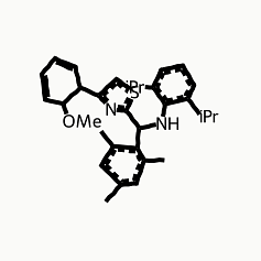 COC1C=CC=CC1c1csc(C(Nc2c(C(C)C)cccc2C(C)C)c2c(C)cc(C)cc2C)n1